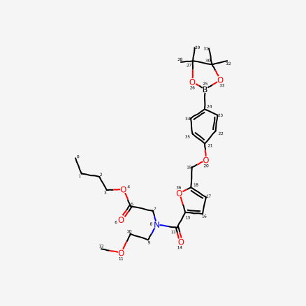 CCCCOC(=O)CN(CCOC)C(=O)c1ccc(COc2ccc(B3OC(C)(C)C(C)(C)O3)cc2)o1